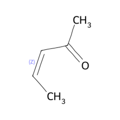 C/C=C\C(C)=O